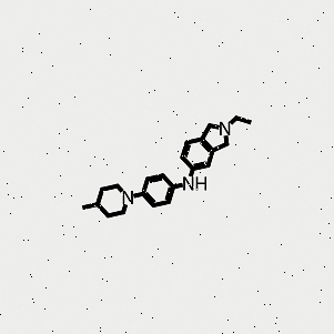 CCN1Cc2ccc(Nc3ccc(N4CCC(C)CC4)cc3)cc2C1